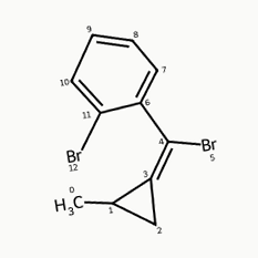 CC1CC1=C(Br)c1ccccc1Br